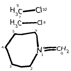 C=[N+]1CCCCC1.CCl.CCl